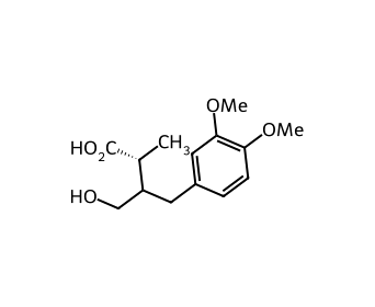 COc1ccc(CC(CO)[C@@H](C)C(=O)O)cc1OC